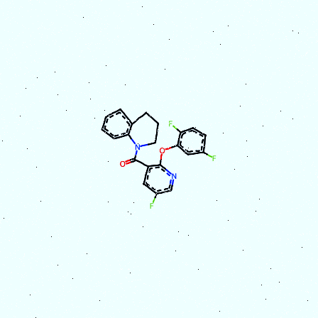 O=C(c1cc(F)cnc1Oc1cc(F)ccc1F)N1CCCc2ccccc21